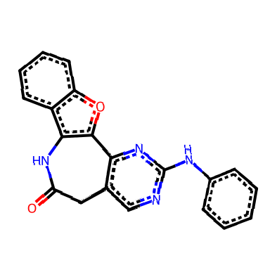 O=C1Cc2cnc(Nc3ccccc3)nc2-c2oc3ccccc3c2N1